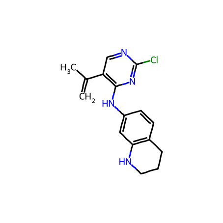 C=C(C)c1cnc(Cl)nc1Nc1ccc2c(c1)NCCC2